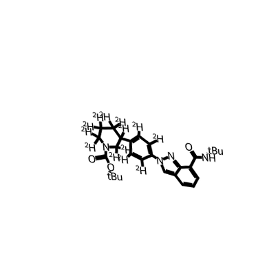 [2H]c1c([2H])c(C2([2H])C([2H])([2H])N(C(=O)OC(C)(C)C)C([2H])([2H])C([2H])([2H])C2([2H])[2H])c([2H])c([2H])c1-n1cc2cccc(C(=O)NC(C)(C)C)c2n1